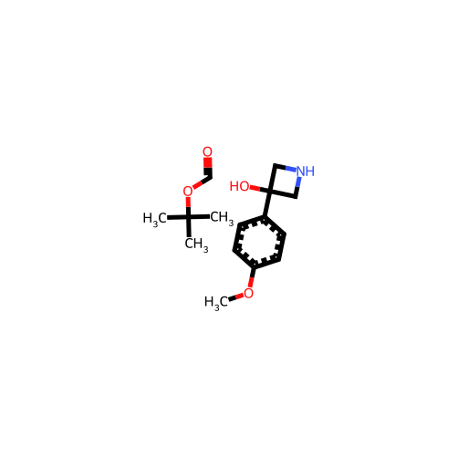 CC(C)(C)OC=O.COc1ccc(C2(O)CNC2)cc1